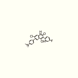 CN(C)c1ccc(-c2cc3c(O)c(-c4ccc(F)cc4)c(=O)[nH]c3cc2Cl)cc1